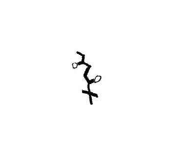 CCC(=O)/C=C/C(=O)C(C)(C)C